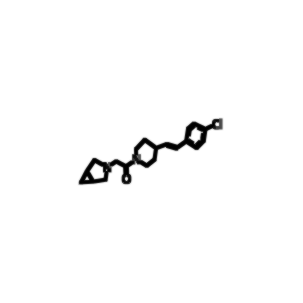 O=C(CN1CC2CC2C1)N1CCC(/C=C/c2ccc(Cl)cc2)CC1